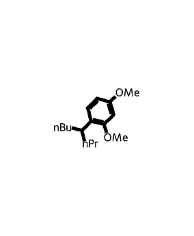 CCCCC(CCC)c1ccc(OC)cc1OC